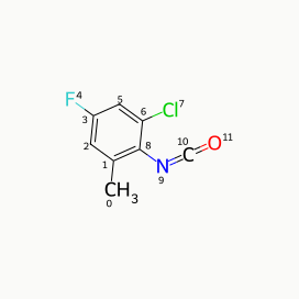 Cc1cc(F)cc(Cl)c1N=C=O